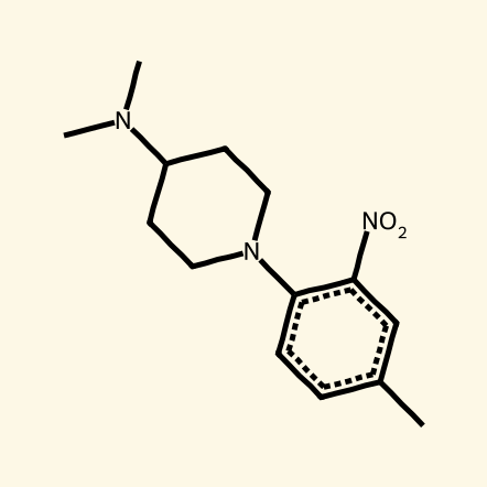 Cc1ccc(N2CCC(N(C)C)CC2)c([N+](=O)[O-])c1